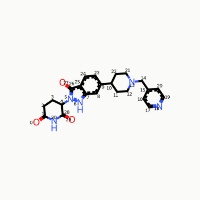 O=C1CCC(n2[nH]c3cc(C4CCN(Cc5ccncc5)CC4)ccc3c2=O)C(=O)N1